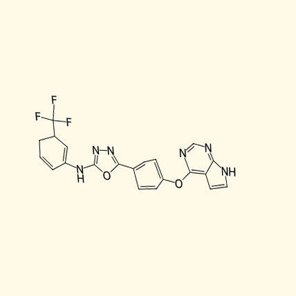 FC(F)(F)C1C=C(Nc2nnc(-c3ccc(Oc4ncnc5[nH]ccc45)cc3)o2)C=CC1